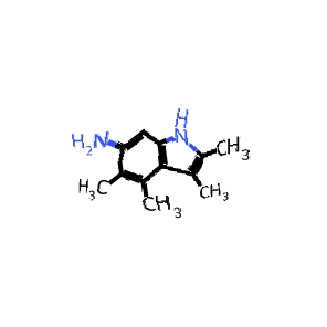 Cc1[nH]c2cc(N)c(C)c(C)c2c1C